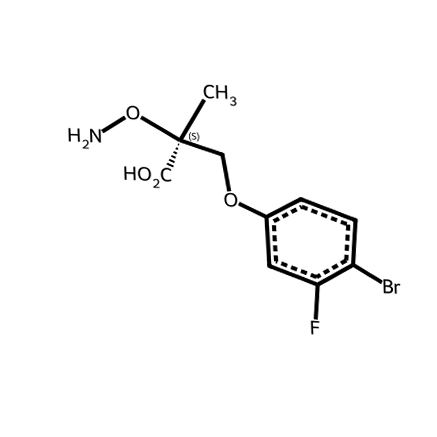 C[C@@](COc1ccc(Br)c(F)c1)(ON)C(=O)O